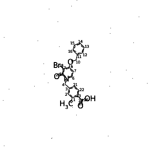 Cc1cc(Cn2ccc(OCc3ccccc3)c(Br)c2=O)ccc1C(=O)O